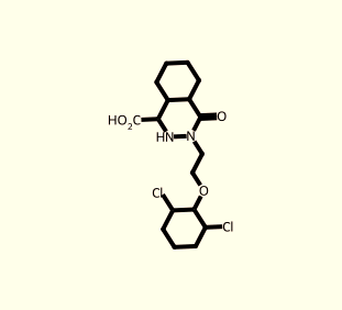 O=C(O)C1NN(CCOC2C(Cl)CCCC2Cl)C(=O)C2CCCCC21